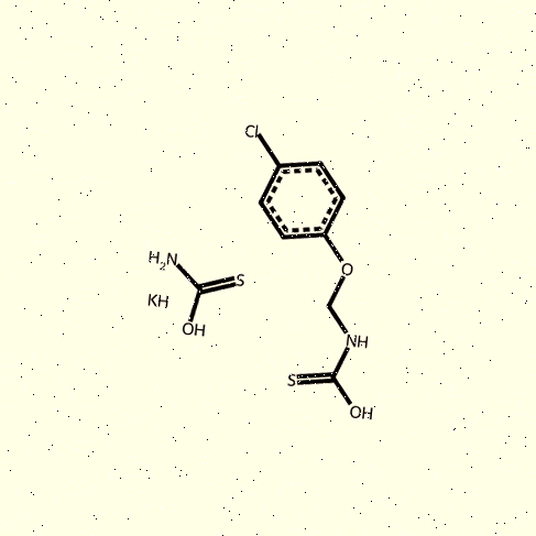 NC(O)=S.OC(=S)NCOc1ccc(Cl)cc1.[KH]